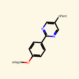 CCCCCCCOc1ccc(-c2ncc(CCCCC)cn2)cc1